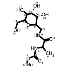 CC(NC(=O)OC(C)(C)C)C(=O)NCC1OC(CO)C(O)[C@H](O)[C@@H]1O